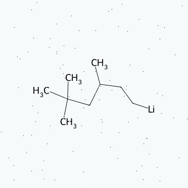 [Li][CH2]CC(C)CC(C)(C)C